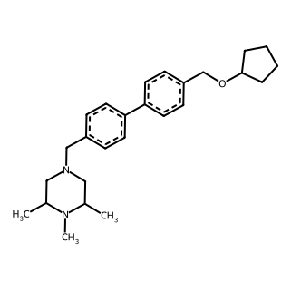 CC1CN(Cc2ccc(-c3ccc(COC4CCCC4)cc3)cc2)CC(C)N1C